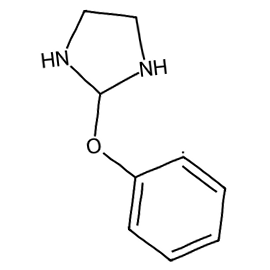 [c]1ccccc1OC1NCCN1